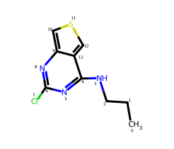 CCCNc1nc(Cl)nc2cscc12